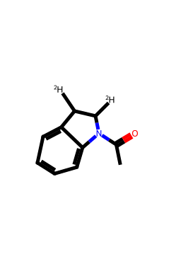 [2H]C1c2ccccc2N(C(C)=O)C1[2H]